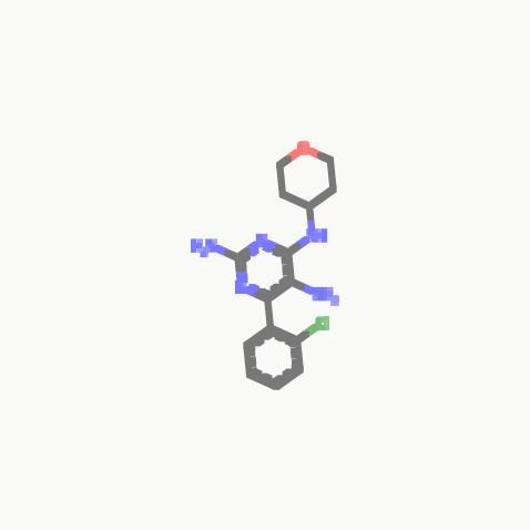 Nc1nc(NC2CCOCC2)c(N)c(-c2ccccc2Cl)n1